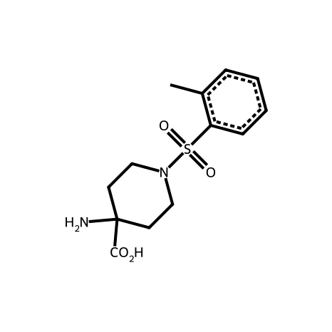 Cc1ccccc1S(=O)(=O)N1CCC(N)(C(=O)O)CC1